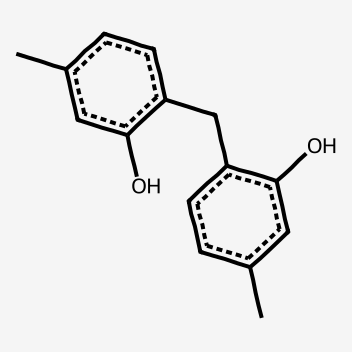 Cc1ccc(Cc2ccc(C)cc2O)c(O)c1